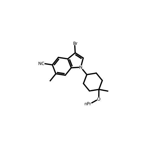 CCCOC1(C)CCC(n2cc(Br)c3cc(C#N)c(C)cc32)CC1